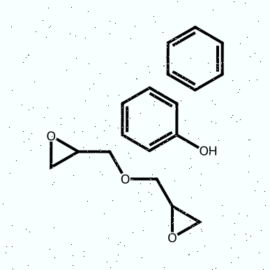 C(OCC1CO1)C1CO1.Oc1ccccc1.c1ccccc1